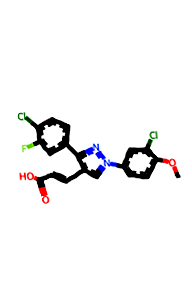 COc1ccc(-n2cc(C=CC(=O)O)c(-c3ccc(Cl)c(F)c3)n2)cc1Cl